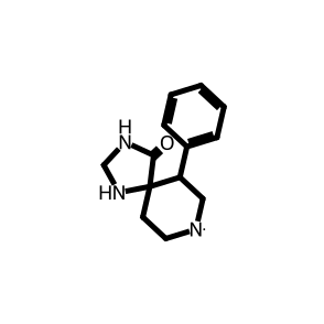 O=C1NCNC12CC[N]CC2c1ccccc1